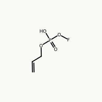 C=CCOP(=O)(O)OF